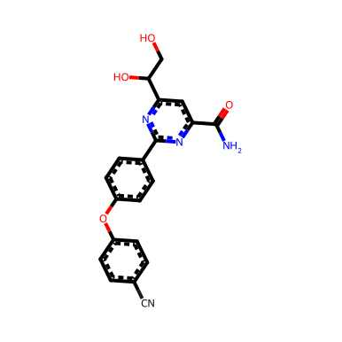 N#Cc1ccc(Oc2ccc(-c3nc(C(N)=O)cc(C(O)CO)n3)cc2)cc1